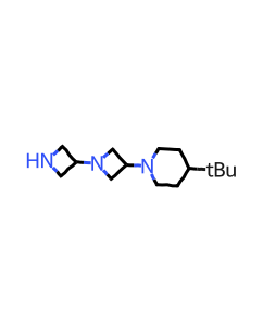 CC(C)(C)C1CCN(C2CN(C3CNC3)C2)CC1